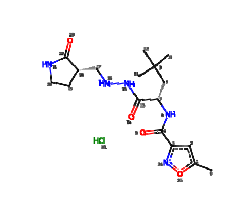 Cc1cc(C(=O)N[C@@H](CC(C)(C)C)C(=O)NNC[C@@H]2CCNC2=O)no1.Cl